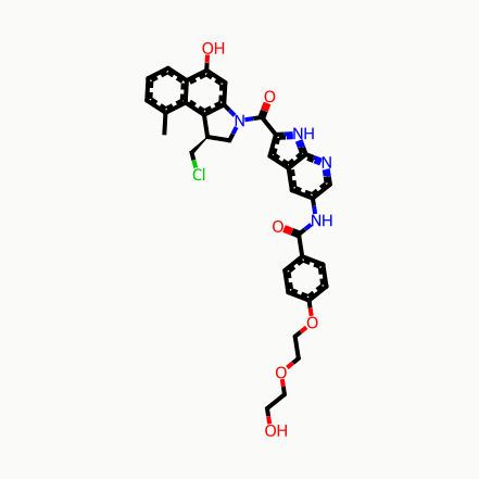 Cc1cccc2c(O)cc3c(c12)[C@H](CCl)CN3C(=O)c1cc2cc(NC(=O)c3ccc(OCCOCCO)cc3)cnc2[nH]1